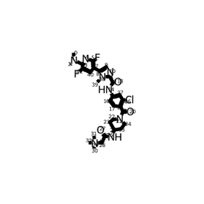 CN(C)c1nc(F)c(-c2cnc(C(=O)Nc3ccc(C(=O)N4CCC(NC(=O)C[N+](C)(C)C)CC4)c(Cl)c3)n2C)cc1F